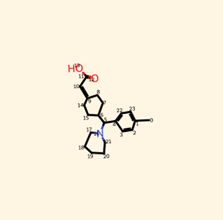 Cc1ccc(C(C2CCC(=CC(=O)O)CC2)N2CCCCC2)cc1